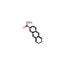 COC(=O)c1ccc2cc3c(cc2c1)=CCCC=3